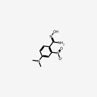 CN(C)c1ccc(C(N)=NO)c([N+](=O)[O-])c1